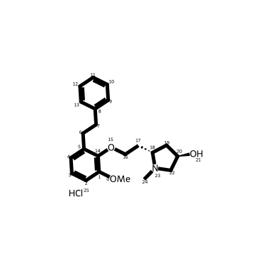 COc1cccc(CCc2ccccc2)c1OCC[C@@H]1C[C@@H](O)CN1C.Cl